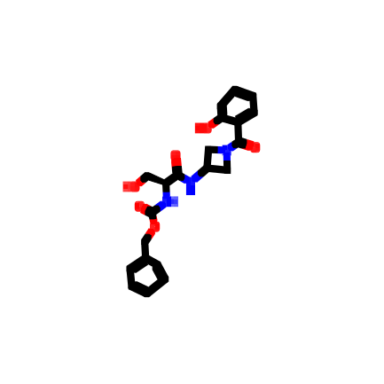 O=C(N[C@@H](CO)C(=O)NC1CN(C(=O)c2ccccc2O)C1)OCc1ccccc1